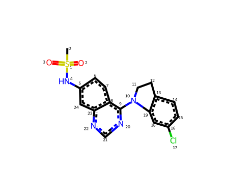 CS(=O)(=O)Nc1ccc2c(N3CCc4ccc(Cl)cc43)ncnc2c1